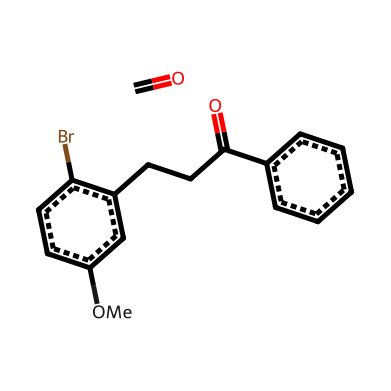 C=O.COc1ccc(Br)c(CCC(=O)c2ccccc2)c1